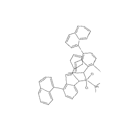 CC1=Cc2c(-c3cccc4ccccc34)ccc(C)c2[CH]1[Zr]([Cl])([Cl])([CH]1C(C2CC=CC2)=Cc2c(-c3cccc4ccccc34)cccc21)[SiH](C)C